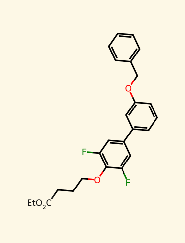 CCOC(=O)CCCOc1c(F)cc(-c2cccc(OCc3ccccc3)c2)cc1F